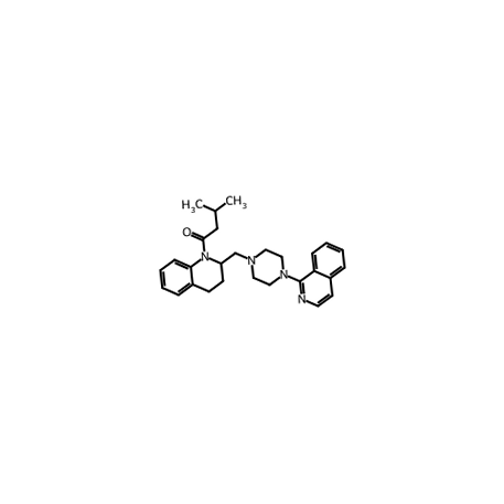 CC(C)CC(=O)N1c2ccccc2CCC1CN1CCN(c2nccc3ccccc23)CC1